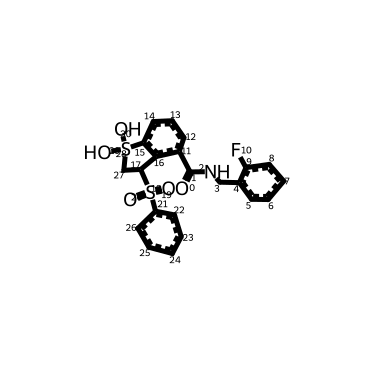 O=C(NCc1ccccc1F)c1cccc2c1C(S(=O)(=O)c1ccccc1)CS2(O)O